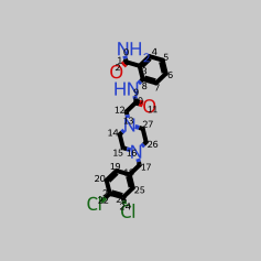 NC(=O)c1ccccc1NC(=O)CN1CCN(Cc2ccc(Cl)c(Cl)c2)CC1